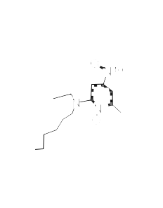 CCCCCCN(CC)c1cc([N+](=O)[O-])cc(C)[n+]1[O-]